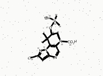 CC1(C)c2c(cnc3cc(Cl)nn23)N(C(=O)O)CC1O[Si](C)(C)C(C)(C)C